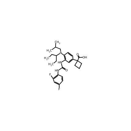 CCC(CC)N(CC(C)C)c1ccc(C2(C(=O)O)CCC2)cc1NC(=O)Nc1ccc(F)cc1F